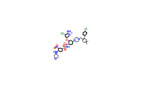 CN1CCN(Nc2ccc(S(=O)(=O)NC(=O)c3ccc(N4CCN(CC5=C(c6ccc(Cl)cc6)CC(C)(C)CC5)CC4)cc3Oc3cnc(N)c(Cl)c3)cc2[N+](=O)[O-])CC1